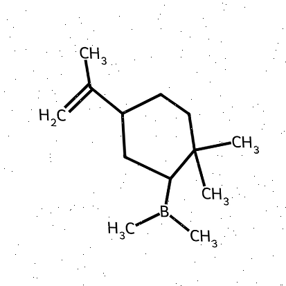 C=C(C)C1CCC(C)(C)C(B(C)C)C1